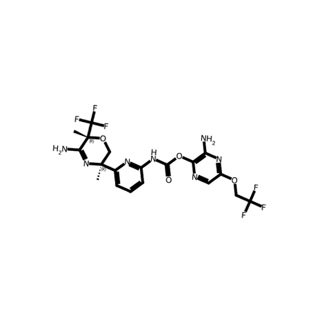 C[C@@]1(c2cccc(NC(=O)Oc3ncc(OCC(F)(F)F)nc3N)n2)CO[C@@](C)(C(F)(F)F)C(N)=N1